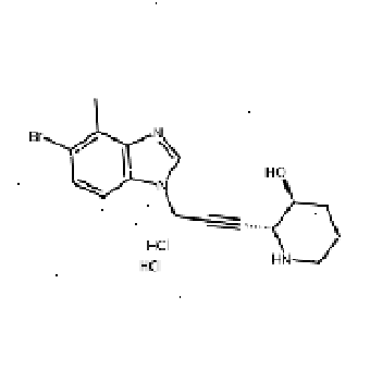 Cc1c(Br)ccc2c1ncn2CC#C[C@H]1NCCC[C@@H]1O.Cl.Cl